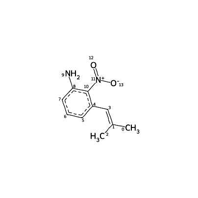 CC(C)=Cc1cccc(N)c1[N+](=O)[O-]